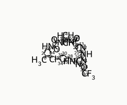 Cc1ccc(NC(=O)C(=O)NCC(C)(C)CNC(=O)c2ccc(Nc3cc(NCc4ccc(Cl)cc4)nc(OCC(F)(F)F)n3)nc2)cc1